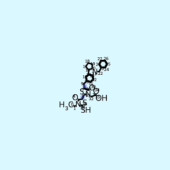 CCN1C(=O)/C(=c2\s/c(=C/c3ccc4c(c3)C3CCCC3N4Cc3ccccc3)c(=O)n2CC(=O)O)SC1S